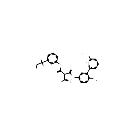 CCC(F)(F)c1cccc(NC(=O)C2C(=O)N(c3ccc(OC)c(-c4cccc(C)n4)c3)N=C2C)c1